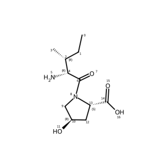 CC[C@@H](C)[C@@H](N)C(=O)N1C[C@H](O)C[C@H]1C(=O)O